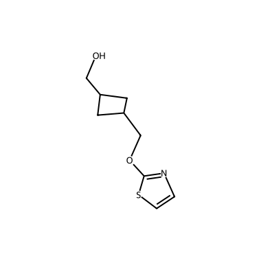 OCC1CC(COc2nccs2)C1